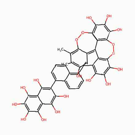 Cc1c(C)c2ooc3c(O)c(O)c(O)c4ooc5c(O)c(O)c(O)c6c(-c7cccc8c(-c9c(O)c(O)c%10c(O)c(O)c(O)c(O)c%10c9O)cccc78)c(c1O)c2c(c56)-c34